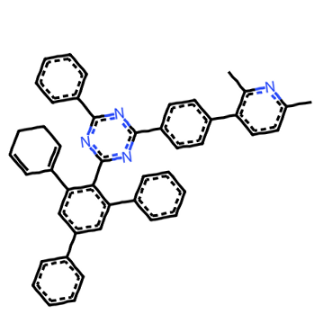 Cc1ccc(-c2ccc(-c3nc(-c4ccccc4)nc(-c4c(C5=CCCC=C5)cc(-c5ccccc5)cc4-c4ccccc4)n3)cc2)c(C)n1